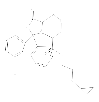 Cl.O=C(NCCNC1CC1)C1CNCC2C(=O)OC(c3ccccc3)(c3ccccc3)N12